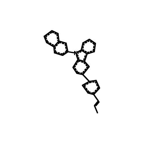 C/C=C/c1ccc(-c2ccc3c(c2)c2ccccc2n3-c2ccc3ccccc3c2)cc1